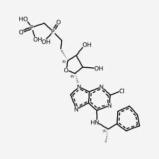 C[C@H](Nc1nc(Cl)nc2c1ncn2[C@@H]1O[C@H](CCP(=O)(O)CP(=O)(O)O)C(O)C1O)c1ccccc1